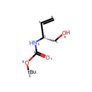 C=C[C@H](CO)NC(=O)OC(C)(C)C